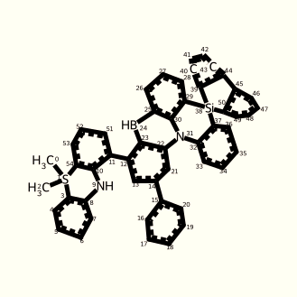 CS1(C)c2ccccc2Nc2c(-c3cc(-c4ccccc4)cc4c3Bc3cccc5c3N4c3ccccc3[Si]53c4ccccc4-c4ccccc43)cccc21